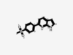 CS(=O)(=O)c1ccc(-c2ccc3cc[nH]c3n2)cc1